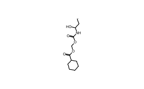 [CH2]CC(O)NC(=O)OCOC(=O)C1CCCCC1